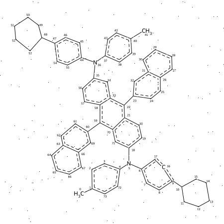 Cc1ccc(N(c2ccc(C3CCCCC3)cc2)c2ccc3c(-c4ccc5ccccc5c4)c4cc(N(c5ccc(C)cc5)c5ccc(C6CCCCC6)cc5)ccc4c(-c4ccc5ccccc5c4)c3c2)cc1